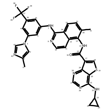 Cc1cn(-c2cc(Nc3nccc4c(NC(=O)c5csc6c(NC7CC7)ncnc56)c(C)ccc34)cc(C(F)(F)F)c2)cn1